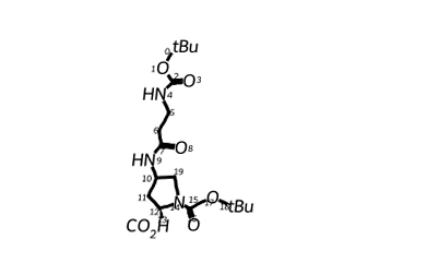 CC(C)(C)OC(=O)NCCC(=O)NC1C[C@H](C(=O)O)N(C(=O)OC(C)(C)C)C1